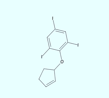 Ic1cc(I)c(OC2C=CCC2)c(I)c1